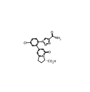 NC(=O)c1cn(-c2ccc(Cl)cc2-c2cc3n(c(=O)c2)[C@H](C(=O)O)CC3)nn1